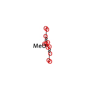 C=CC(=O)OCCCCCCOc1ccc2cc(C(=O)Oc3ccc(OC(=O)c4ccc5cc(OCCCCCCOC(=O)C=C)ccc5c4)c(C(=O)OC)c3)ccc2c1